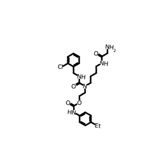 CCc1ccc(NC(=O)OCCN(CCCCNC(=O)CN)C(=O)NCc2ccccc2Cl)cc1